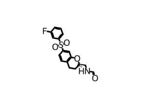 O=CNC[C@H]1CCc2ccc(S(=O)(=O)c3cccc(F)c3)cc2O1